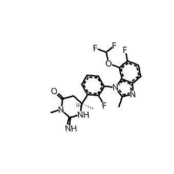 Cc1nc2ccc(F)c(OC(F)F)c2n1-c1cccc([C@]2(C)CC(=O)N(C)C(=N)N2)c1F